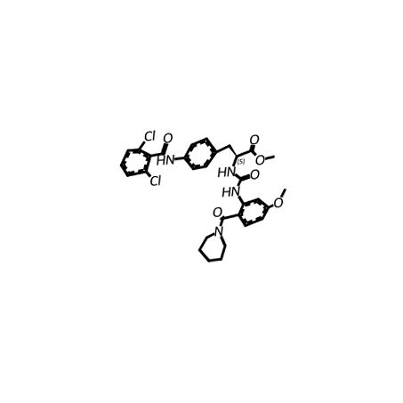 COC(=O)[C@H](Cc1ccc(NC(=O)c2c(Cl)cccc2Cl)cc1)NC(=O)Nc1cc(OC)ccc1C(=O)N1CCCCC1